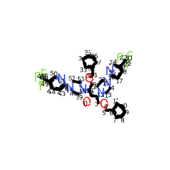 O=C(C(COCc1ccccc1)N1CCN(c2ccc(C(F)(F)F)cn2)CC1)C(COCc1ccccc1)N1CCN(c2ccc(C(F)(F)F)cn2)CC1